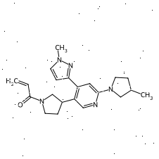 C=CC(=O)N1CCC(c2cnc(N3CCC(C)C3)cc2-c2ccn(C)n2)C1